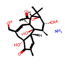 CC(=O)O[C@@]12[C@H](O)[C@@H](C)[C@@]3(O)[C@@H](C=C(CO)C[C@]4(O)C(=O)C(C)=C[C@@H]34)[C@@H]1C2(C)C.N